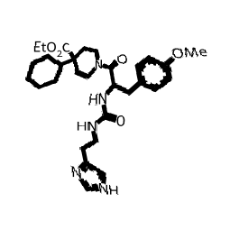 CCOC(=O)C1(C2CCCCC2)CCN(C(=O)C(Cc2ccc(OC)cc2)NC(=O)NCCc2c[nH]cn2)CC1